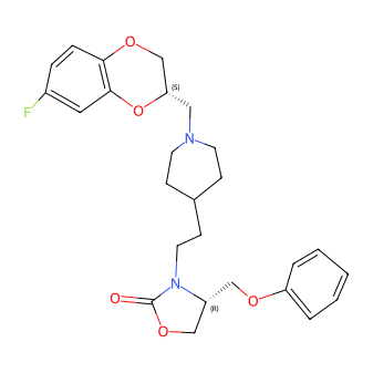 O=C1OC[C@@H](COc2ccccc2)N1CCC1CCN(C[C@H]2COc3ccc(F)cc3O2)CC1